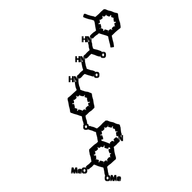 COc1cc2nccc(Oc3ccc(NC(=O)NC(=O)Nc4c(C)cccc4C)cc3)c2cc1OC